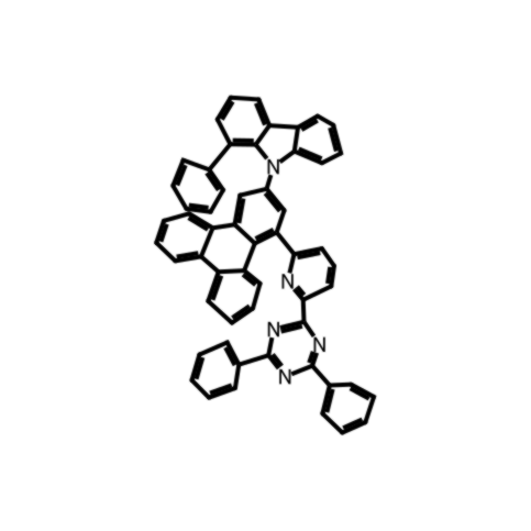 c1ccc(-c2nc(-c3ccccc3)nc(-c3cccc(-c4cc(-n5c6ccccc6c6cccc(-c7ccccc7)c65)cc5c6ccccc6c6ccccc6c45)n3)n2)cc1